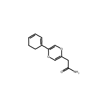 NC(=O)CC1=COC(C2=CC=CCC2)=CO1